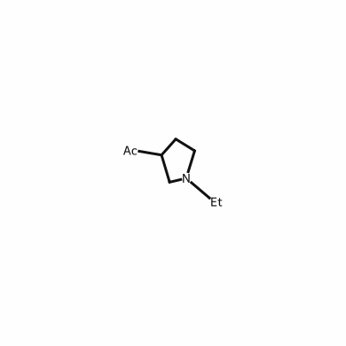 CCN1CCC(C(C)=O)C1